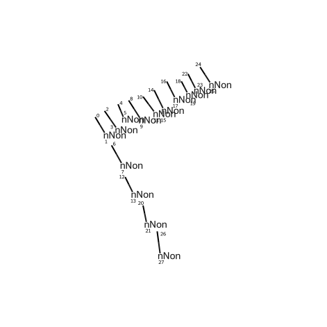 CCCCCCCCCC.CCCCCCCCCC.CCCCCCCCCC.CCCCCCCCCC.CCCCCCCCCC.CCCCCCCCCC.CCCCCCCCCC.CCCCCCCCCC.CCCCCCCCCC.CCCCCCCCCC.CCCCCCCCCC.CCCCCCCCCC.CCCCCCCCCC.CCCCCCCCCC